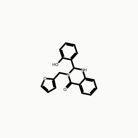 O=C1c2ccccc2NC(c2ccccc2O)N1Cc1ccco1